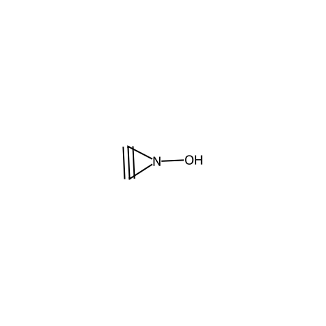 ON1C#C1